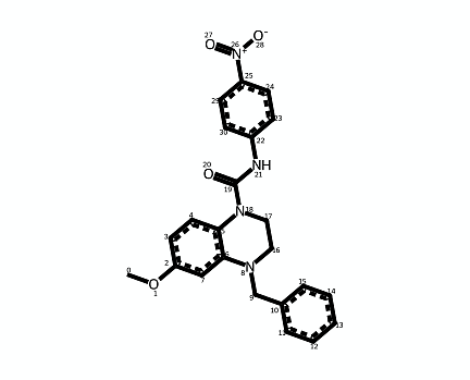 COc1ccc2c(c1)N(Cc1ccccc1)CCN2C(=O)Nc1ccc([N+](=O)[O-])cc1